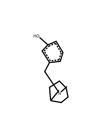 Oc1cccc(CN2CC3CCC(CC3)C2)c1